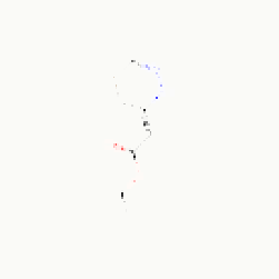 CCOC(=O)C=C1CSC=NN1